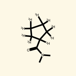 [2H]C1([2H])C([2H])([2H])C([2H])([2H])C([2H])(C(=O)N(C)C)C1([2H])[2H]